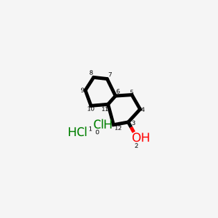 Cl.Cl.OC1CCC2CCCCC2C1